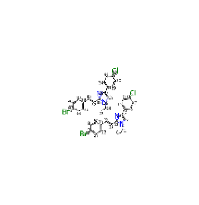 CCn1cc(-c2ccc(Cl)cc2)nc1C=Cc1ccc(Br)cc1.CCn1cc(-c2ccc(Cl)cc2)nc1C=Cc1ccc(Br)cc1